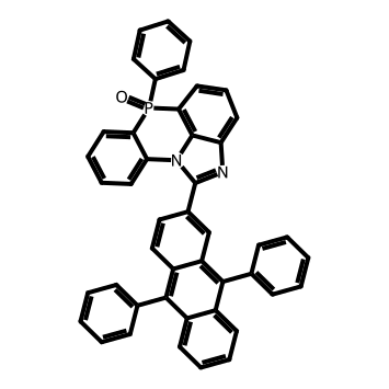 O=P1(c2ccccc2)c2ccccc2-n2c(-c3ccc4c(-c5ccccc5)c5ccccc5c(-c5ccccc5)c4c3)nc3cccc1c32